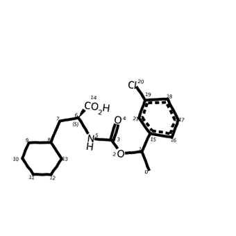 CC(OC(=O)N[C@@H](CC1CCCCC1)C(=O)O)c1cccc(Cl)c1